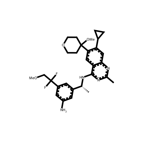 COCC(F)(F)c1cc(N)cc([C@@H](C)Nc2nc(C)nc3cc(C4CC4)c(C4(OC)CCOCC4)cc23)c1